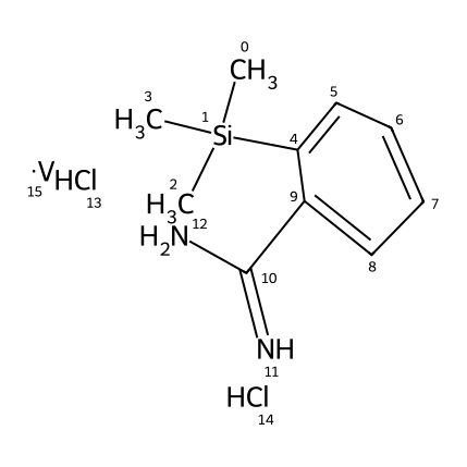 C[Si](C)(C)c1ccccc1C(=N)N.Cl.Cl.[V]